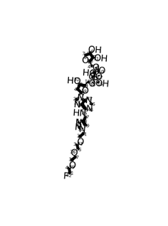 O=P(O)(OC[C@H]1OC[C@H](O)[C@@H]1O)OP(=O)(O)OC[C@H]1O[C@@H](n2cnc3c(NCc4cn(CCOCCOCCOCCF)nn4)ncnc32)C[C@@H]1O